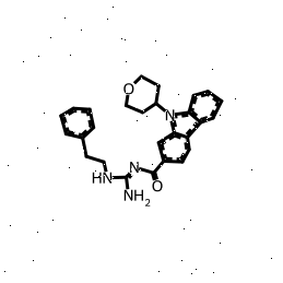 N/C(=N\C(=O)c1ccc2c3ccccc3n(C3CCOCC3)c2c1)NCCc1ccccc1